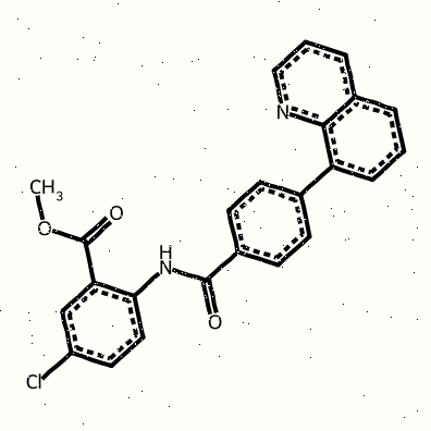 COC(=O)c1cc(Cl)ccc1NC(=O)c1ccc(-c2cccc3cccnc23)cc1